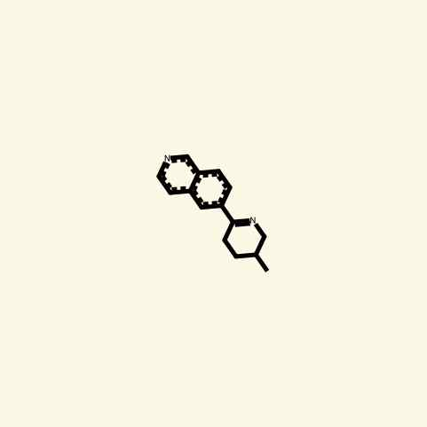 CC1CCC(c2ccc3cnccc3c2)=NC1